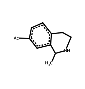 CC(=O)c1ccc2c(c1)C(C)NCC2